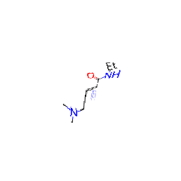 CCNC(=O)/C=C/CN(C)C